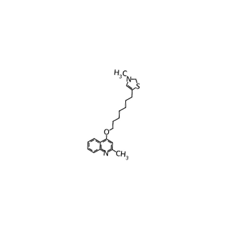 Cc1cc(OCCCCCCCC2=CN(C)CS2)c2ccccc2n1